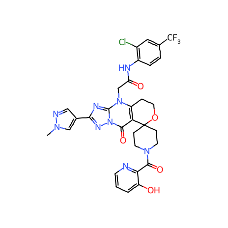 Cn1cc(-c2nc3n(CC(=O)Nc4ccc(C(F)(F)F)cc4Cl)c4c(c(=O)n3n2)C2(CCN(C(=O)c3ncccc3O)CC2)OCC4)cn1